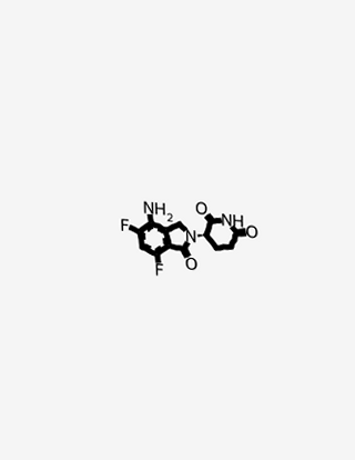 Nc1c(F)cc(F)c2c1CN([C@H]1CCC(=O)NC1=O)C2=O